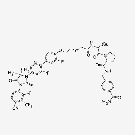 CC(C)(C)C(NC(=O)COCCOc1ccc(-c2ncc(N3C(=S)N(c4ccc(C#N)c(C(F)(F)F)c4F)C(=O)C3(C)C)cc2F)cc1F)C(=O)N1CCCC1C(=O)NCc1ccc(C(N)=O)cc1